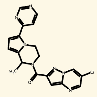 CC1c2ccc(-c3ccncn3)n2CCN1C(=O)c1cc2ncc(Cl)cn2n1